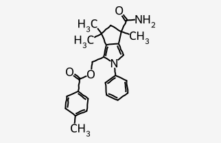 Cc1ccc(C(=O)OCc2c3c(cn2-c2ccccc2)C(C)(C(N)=O)CC3(C)C)cc1